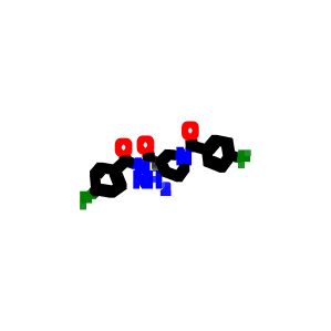 NN(C(=O)c1ccc(F)cc1)C(=O)[C@H]1CCCN(C(=O)c2ccc(F)cc2)C1